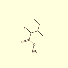 CCC(C)C(Cl)C(=O)O[SiH3]